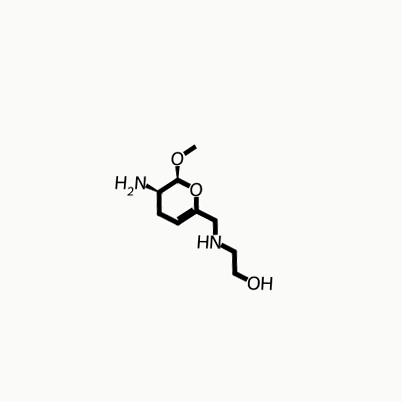 CO[C@H]1OC(CNCCO)=CC[C@H]1N